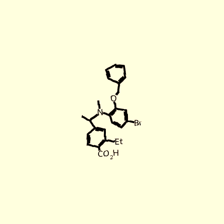 CCc1cc(C(C)N(C)c2ccc(Br)cc2OCc2ccccc2)ccc1C(=O)O